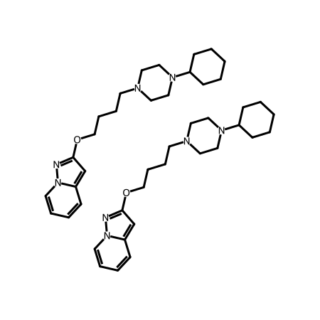 c1ccn2nc(OCCCCN3CCN(C4CCCCC4)CC3)cc2c1.c1ccn2nc(OCCCCN3CCN(C4CCCCC4)CC3)cc2c1